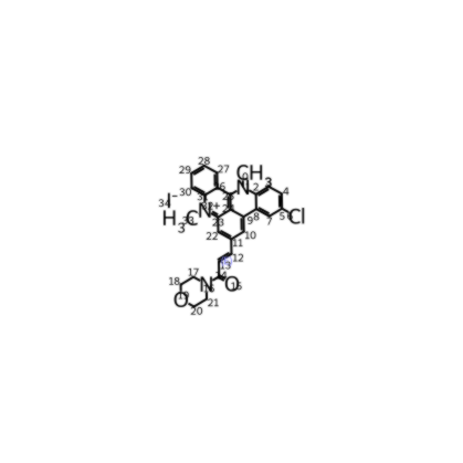 CN1c2ccc(Cl)cc2-c2cc(/C=C/C(=O)N3CCOCC3)cc3c2c1c1ccccc1[n+]3C.[I-]